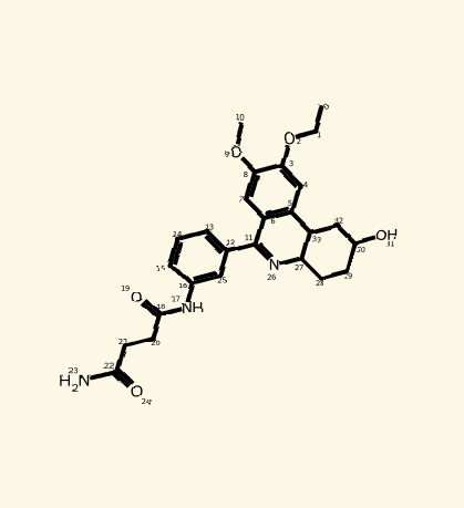 CCOc1cc2c(cc1OC)C(c1cccc(NC(=O)CCC(N)=O)c1)=NC1CCC(O)CC21